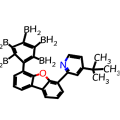 Bc1c(B)c(B)c(-c2cccc3c2oc2c(-c4cc(C(C)(C)C)ccn4)cccc23)c(B)c1B